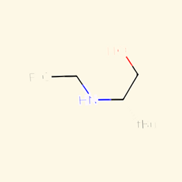 CC(C)(C)[C@@H](CO)NCC(F)(F)F